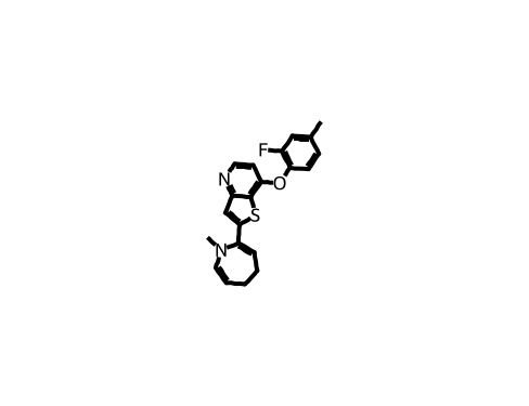 Cc1ccc(Oc2ccnc3cc(C4=CCCC=CN4C)sc23)c(F)c1